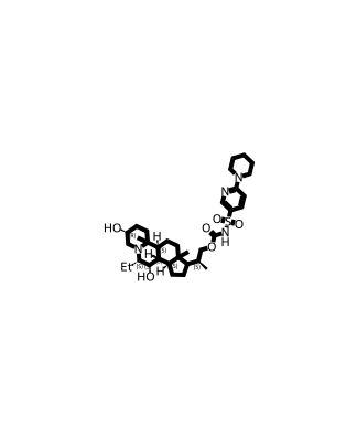 CC[C@H]1[C@@H](O)[C@H]2[C@@H]3CCC([C@H](C)COC(=O)NS(=O)(=O)c4ccc(N5CCCCC5)nc4)C3(C)CC[C@@H]2C2(C)CC[C@@H](O)CN12